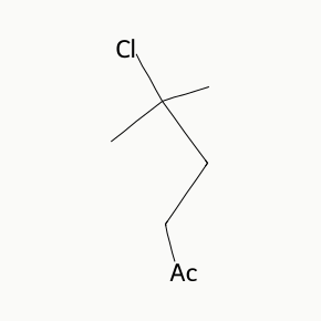 CC(=O)CCC(C)(C)Cl